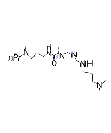 CCCN(C)CCCNC(=O)/C(C)=N/C=N\CNCCCN(C)C